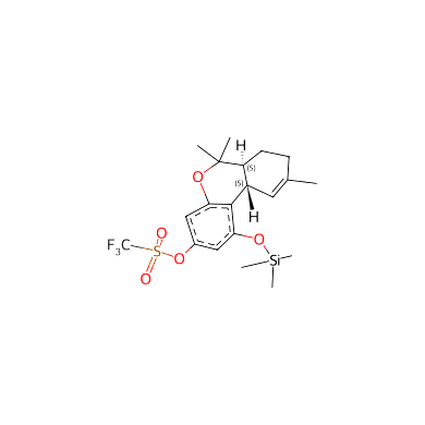 CC1=C[C@@H]2c3c(cc(OS(=O)(=O)C(F)(F)F)cc3O[Si](C)(C)C)OC(C)(C)[C@H]2CC1